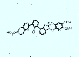 COc1nc(OC2CCc3c(-c4cccc(-c5ccc6c(n5)CCN(C(=O)O)C6)c4Cl)cccc32)c(C(F)(F)F)cc1C=O